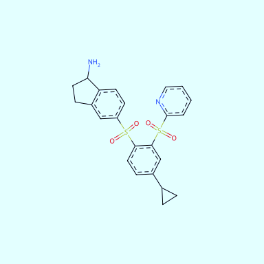 NC1CCc2cc(S(=O)(=O)c3ccc(C4CC4)cc3S(=O)(=O)c3ccccn3)ccc21